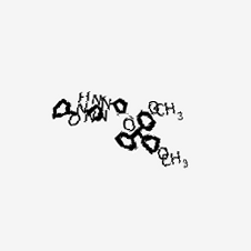 COc1ccc(C(OC[C@@H]2[CH][C@@H](n3cnc4c(NC(=O)c5ccccc5)ncnc43)C=C2)(c2ccccc2)c2ccc(OC)cc2)cc1